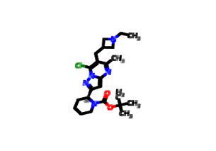 CCN1CC(Cc2c(C)nc3cc([C@@H]4CCCCN4C(=O)OC(C)(C)C)nn3c2Cl)C1